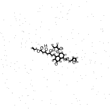 C=CCOC(=O)CC(O)CC(O)CCC1C(C)C(=O)C=C2C(=NOCc3ccco3)CCC(OC(=O)C(C)CC)C21